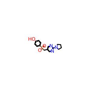 O=S(=O)(Cc1cnc(N2CCCC2)nc1)c1ccc(O)cc1